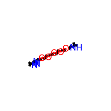 CC(C)NCCOCCOCCOCCOCCOCCn1cc(C(C)C)nn1